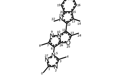 Cc1nc(C)n(-c2c(C)nn3c(-c4c(C)c5ccccc5n4C)c(C)oc23)n1